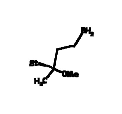 BCC[C@@](C)(CC)OC